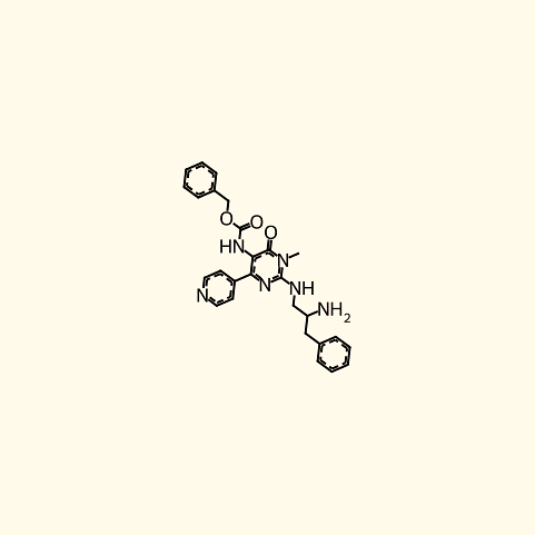 Cn1c(NCC(N)Cc2ccccc2)nc(-c2ccncc2)c(NC(=O)OCc2ccccc2)c1=O